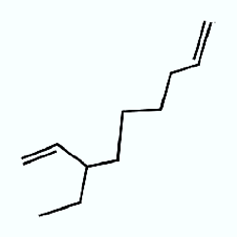 [CH]=CCCCCC(C=C)CC